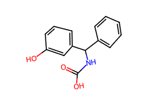 O=C(O)NC(c1ccccc1)c1cccc(O)c1